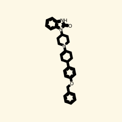 O=c1[nH]c2ccccc2n1C1CCN(C2=CCC(c3ccc(OCc4ccccc4)cc3)CC2)CC1